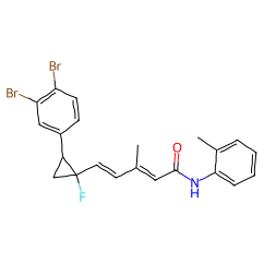 CC(/C=C/C1(F)CC1c1ccc(Br)c(Br)c1)=C\C(=O)Nc1ccccc1C